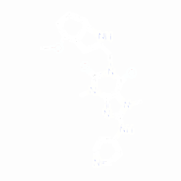 COc1cccc2[nH]c(Cn3c(=O)c4c(nc(Nc5ccncc5)n4C)n(C)c3=O)cc12